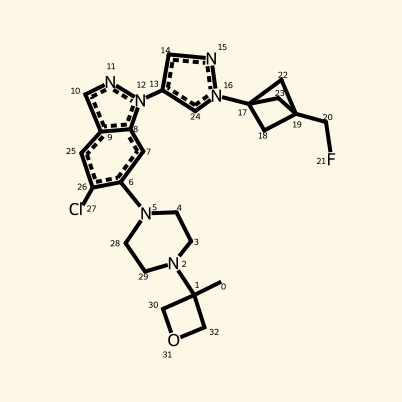 CC1(N2CCN(c3cc4c(cnn4-c4cnn(C56CC(CF)(C5)C6)c4)cc3Cl)CC2)COC1